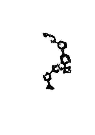 CC(C)CN[C@@H]1CCCN(c2ccc(C3(n4cc(-c5cncc(C6CC6)c5)nn4)COC3)nc2)C1